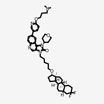 CN(C)CCCOc1ccc(-c2ccc3ncc4c(c3c2)n(C2CCOCC2)c(=O)n4CCCCCO[C@H]2CC[C@H]3[C@@H]4CC[C@H]5CC(F)(F)CC[C@]5(C)[C@H]4CC[C@]23C)cn1